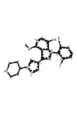 COc1ncc(Cl)c2c1c(-c1cnn(C3CCOCC3)c1)nn2-c1c(F)cccc1F